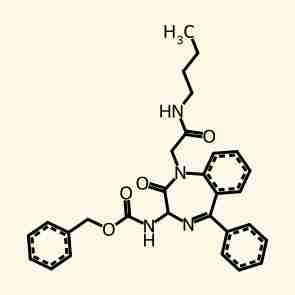 CCCCNC(=O)CN1C(=O)C(NC(=O)OCc2ccccc2)N=C(c2ccccc2)c2ccccc21